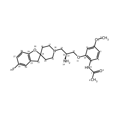 COc1ccc(NC(C)=O)c(OC[C@@H](N)CN2CCC3(CC2)Cc2cc(F)ccc2O3)c1